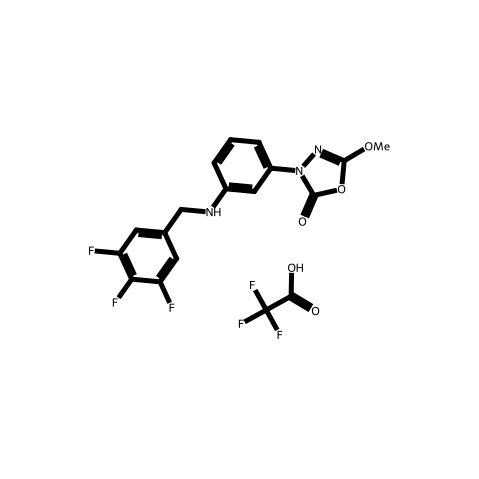 COc1nn(-c2cccc(NCc3cc(F)c(F)c(F)c3)c2)c(=O)o1.O=C(O)C(F)(F)F